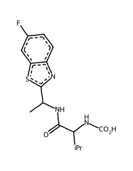 CC(NC(=O)C(NC(=O)O)C(C)C)c1nc2ccc(F)cc2s1